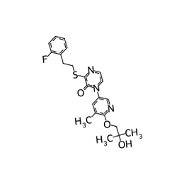 Cc1cc(-n2ccnc(SCCc3ccccc3F)c2=O)cnc1OCC(C)(C)O